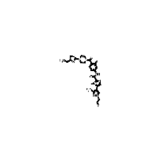 Cc1cc(NC(=O)c2ncc(-c3cn(CCF)nc3C(F)(F)F)n2C)ccc1C(=O)N1CCN(C2=NC(CN)CO2)CC1